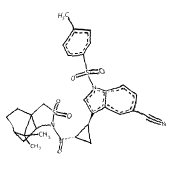 Cc1ccc(S(=O)(=O)n2cc([C@H]3C[C@@H]3C(=O)N3C4CC5CCC4(CS3(=O)=O)C5(C)C)c3cc(C#N)ccc32)cc1